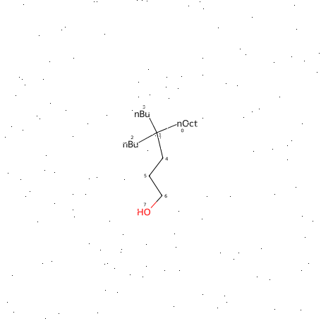 CCCCCCCCC(CCCC)(CCCC)CCCO